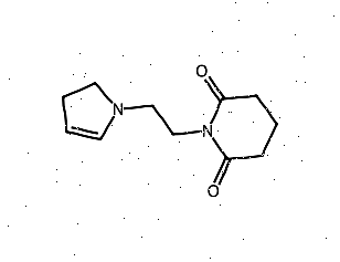 O=C1CCCC(=O)N1CCN1C=CCC1